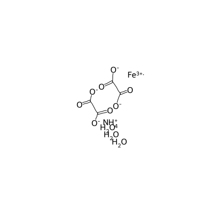 O.O.O.O=C([O-])C(=O)[O-].O=C([O-])C(=O)[O-].[Fe+3].[NH4+]